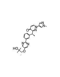 C[C@@H](c1cccc(-c2ncc(O[C@H](C)C(C)(C)O)cn2)c1)c1nn(-c2cnn(C)c2)ccc1=O